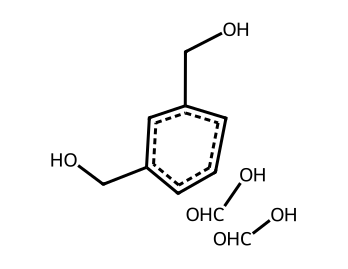 O=CO.O=CO.OCc1cccc(CO)c1